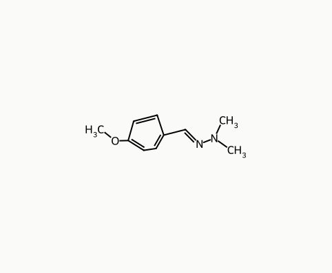 COc1ccc(C=NN(C)C)cc1